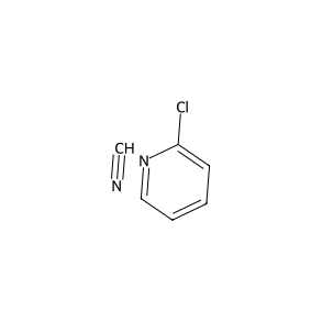 C#N.Clc1ccccn1